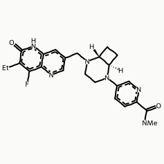 CCc1c(F)c2ncc(CN3CCN(c4ccc(C(=O)NC)nc4)[C@@H]4CC[C@H]43)cc2[nH]c1=O